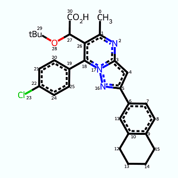 Cc1nc2cc(-c3ccc4c(c3)CCCC4)nn2c(-c2ccc(Cl)cc2)c1C(OC(C)(C)C)C(=O)O